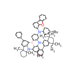 Cc1cc2c3c(c1)N1c4c(cc(-c5ccccc5)cc4C4(C)CCCCC14C)B3c1ccc(N(c3ccc(C(C)(C)C)cc3)c3cccc4c3oc3ccccc34)cc1N2c1cc2c(cc1-c1ccccc1)C(C)(C)CCC2(C)C